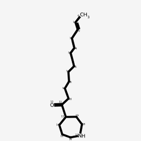 C/C=C/CCCCCCCCC(=O)C1CCCNCC1